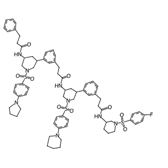 O=C(CCc1cccc(C2CC(NC(=O)CCc3cccc(C4CC(NC(=O)CCc5ccccc5)CN(S(=O)(=O)c5ccc(N6CCCC6)cc5)C4)c3)CN(S(=O)(=O)c3ccc(N4CCCCC4)cc3)C2)c1)NC1CCCN(S(=O)(=O)c2ccc(F)cc2)C1